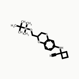 CC(C)(C)[Si](C)(C)OCC1CSc2cc(NC3(C#N)CCC3)ccc2O1